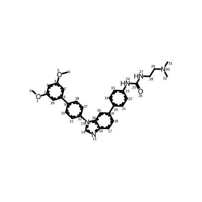 COc1cc(OC)cc(-c2ccc(-n3cnc4ccc(-c5ccc(NC(=O)NCCN(C)C)cc5)cc43)cc2)c1